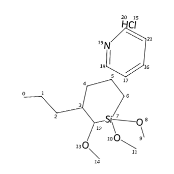 CCCC1CCC[Si](OC)(OC)C1OC.Cl.c1ccncc1